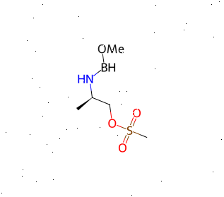 COBN[C@H](C)COS(C)(=O)=O